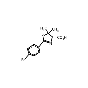 CC1(C)SC(c2ccc(Br)cc2)=N[C@H]1C(=O)O